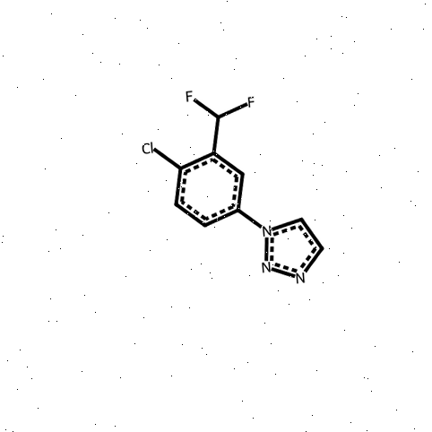 FC(F)c1cc(-n2ccnn2)ccc1Cl